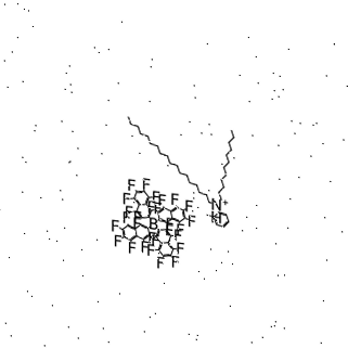 CCCCCCCCCCCCCCCCCC[NH+](CCCCCCCCCCCC)c1ccccc1C.Fc1c(F)c(F)c2c(F)c([B-](c3c(F)c(F)c4c(F)c(F)c(F)c(F)c4c3F)(c3c(F)c(F)c4c(F)c(F)c(F)c(F)c4c3F)c3c(F)c(F)c4c(F)c(F)c(F)c(F)c4c3F)c(F)c(F)c2c1F